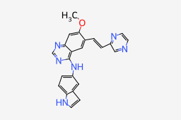 COc1cc2ncnc(Nc3ccc4[nH]ccc4c3)c2cc1C=Cc1cnccn1